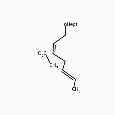 CC(=O)O.CC=CC/C=C\CCCCCCCC